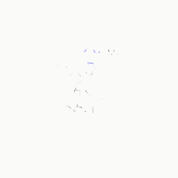 CC/C1=C(\C(=O)CC2=C(O)C(CCC(C)(C)O)=C([C@H](CC)OC3C[C@H](N)[C@H](O)[C@H](C)O3)C(O)C=C2C=O)C/C=C\C=C(\OC)C1